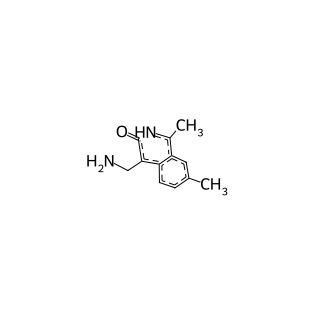 Cc1ccc2c(CN)c(=O)[nH]c(C)c2c1